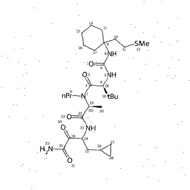 CCCN(C(=O)[C@@H](NC(=O)NC1(CCSC)CCCCC1)C(C)(C)C)[C@@H](C)C(=O)NC(CC1CC1)C(=O)C(N)=O